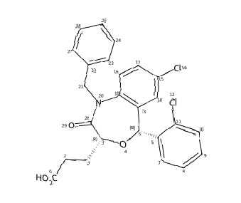 O=C(O)CC[C@H]1O[C@@H](c2ccccc2Cl)c2cc(Cl)ccc2N(Cc2ccccc2)C1=O